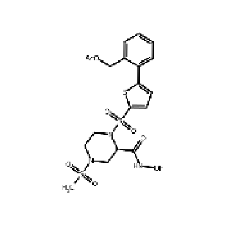 CC(=O)OCc1ccccc1-c1ccc(S(=O)(=O)N2CCN(S(C)(=O)=O)C[C@@H]2C(=O)NO)s1